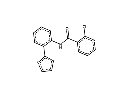 O=C(Nc1ccccc1-c1cccs1)c1cccnc1Cl